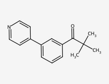 CC(C)(C)C(=O)c1cccc(-c2ccncc2)c1